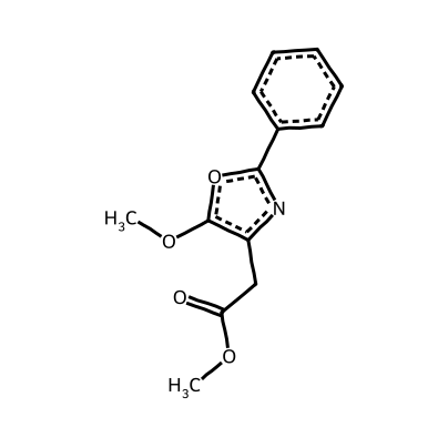 COC(=O)Cc1nc(-c2ccccc2)oc1OC